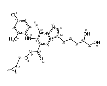 Cc1cc(Cl)ccc1Nc1c(C(=O)NOCC2CC2)cc2c(ncn2CCCC(O)CO)c1F